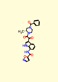 C[C@@H]1CN(C(=O)c2ccccc2)CCN1C(=O)C(=O)c1c[nH]c2c(NC(=O)c3ccno3)cccc12